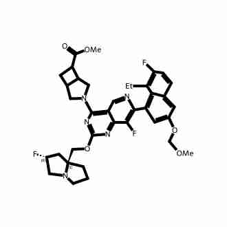 CCc1c(F)ccc2cc(OCOC)cc(-c3ncc4c(N5CC6CC(C(=O)OC)C6C5)nc(OC[C@@]56CCCN5C[C@H](F)C6)nc4c3F)c12